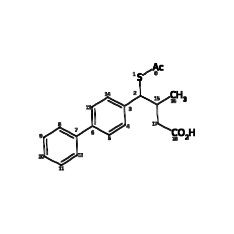 CC(=O)SC(c1ccc(-c2ccccc2)cc1)C(C)CC(=O)O